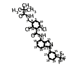 CC(C)(C)C(=O)NCc1ccc(Cl)c(C(=O)Nc2cccc3c2cnn3-c2cccc(C(F)(F)F)c2)c1Cl